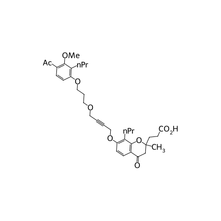 CCCc1c(OCCCOCC#CCOc2ccc3c(c2CCC)OC(C)(CCC(=O)O)CC3=O)ccc(C(C)=O)c1OC